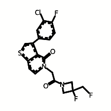 O=C(Cn1ccc2scc(-c3ccc(F)c(Cl)c3)c2c1=O)N1CC(F)(CF)C1